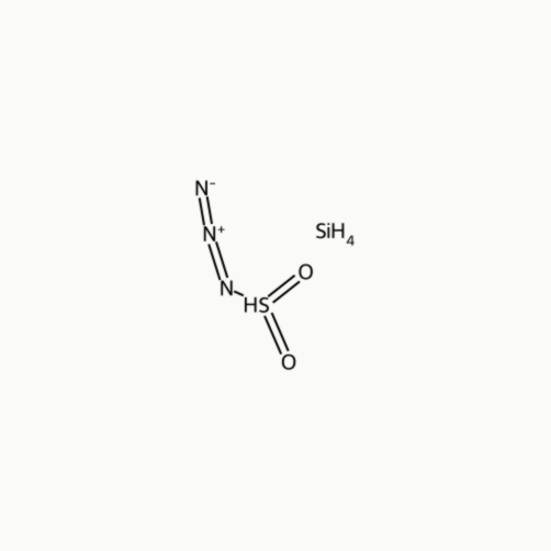 [N-]=[N+]=N[SH](=O)=O.[SiH4]